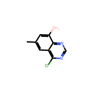 Bc1cc(C)cc2c(Cl)ncnc12